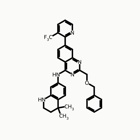 CC1(C)CCNc2cc(Nc3nc(COCc4ccccc4)nc4cc(-c5ncccc5C(F)(F)F)ccc34)ccc21